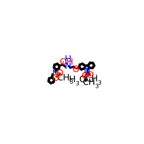 CC(C)(C)OC(=O)n1c2ccccc2c2ccc(OCCNC[C@H](O)c3cccc(N(Cc4ccccc4)S(C)(=O)=O)c3)cc21